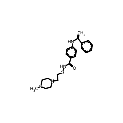 C=C(Nc1ccc(C(=O)NOCCN2CCN(C)CC2)cc1)c1ccccc1